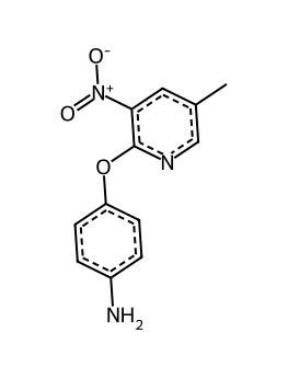 Cc1cnc(Oc2ccc(N)cc2)c([N+](=O)[O-])c1